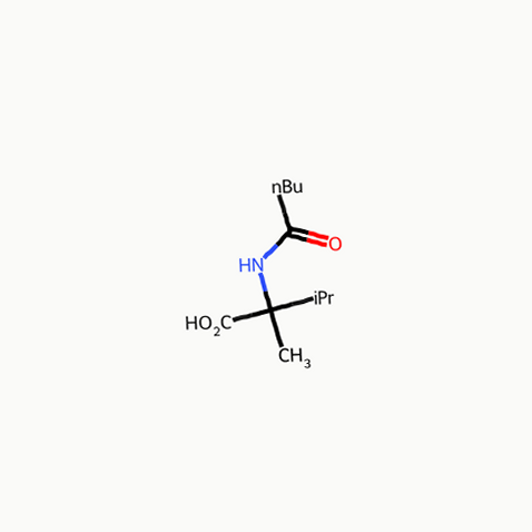 CCCCC(=O)NC(C)(C(=O)O)C(C)C